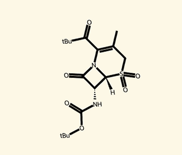 CC1=C(C(=O)C(C)(C)C)N2C(=O)[C@@H](NC(=O)OC(C)(C)C)[C@H]2S(=O)(=O)C1